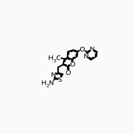 Cc1c(Cc2csc(N)n2)c(=O)oc2cc(Oc3ncccn3)ccc12